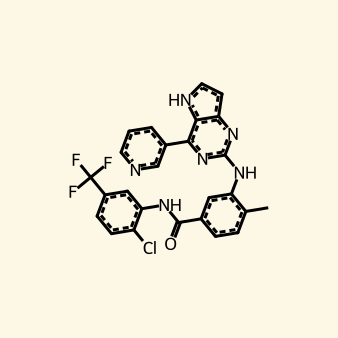 Cc1ccc(C(=O)Nc2cc(C(F)(F)F)ccc2Cl)cc1Nc1nc(-c2cccnc2)c2[nH]ccc2n1